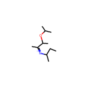 CCC(C)/N=C(/C)C(C)OC(C)C